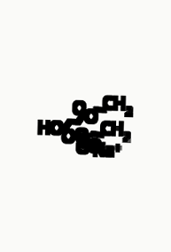 C=CCOC(=O)CCC(=O)O.C=CCS(=O)(=O)[O-].[Na+]